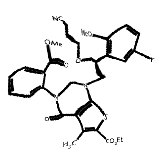 CCOC(=O)c1sc2c(c1C)C(=O)N(c1ccccc1C(=O)OC)CN2CC(OCCC#N)c1cc(F)ccc1OC